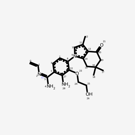 C=C/N=C(/N)c1ccc(-n2cc(C)c3c2CC(C)(C)CC3=O)c(OCCO)c1N